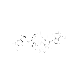 [N-]=[N+]=N[C@H]1[C@H]2OP(=O)(O)OC[C@H]3O[C@@H](n4cnc5c(N)ncnc54)[C@H](O)[C@@H]3OP(=O)(O)OC[C@H]1O[C@H]2n1cnc2c(=O)[nH]c(N)nc21